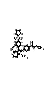 C=CC(=O)Nc1ccc(-c2c3c4c(ncnc4n2C)NCc2cc(S(=O)(=O)N4CCCC4)ccc2-3)cc1